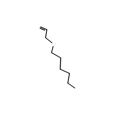 CCCCCCNCC=O